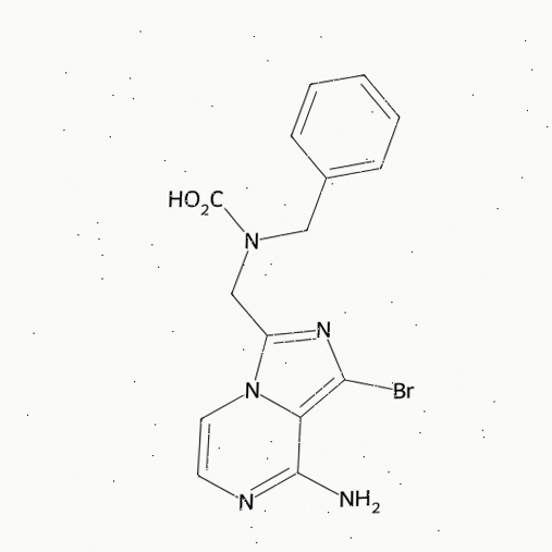 Nc1nccn2c(CN(Cc3ccccc3)C(=O)O)nc(Br)c12